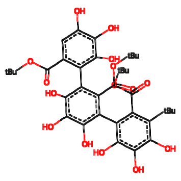 CC(C)(C)OC(=O)c1cc(O)c(O)c(O)c1-c1c(O)c(O)c(O)c(-c2c(O)c(O)c(O)c(C(C)(C)C)c2C(=O)OC(C)(C)C)c1C(=O)OC(C)(C)C